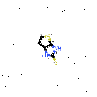 S=c1[nH]c2ccsc2[nH]1